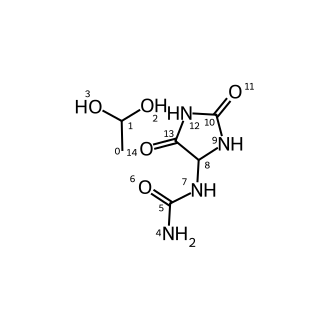 CC(O)O.NC(=O)NC1NC(=O)NC1=O